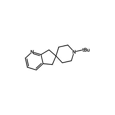 CC(C)(C)N1CCC2(CC1)Cc1cccnc1C2